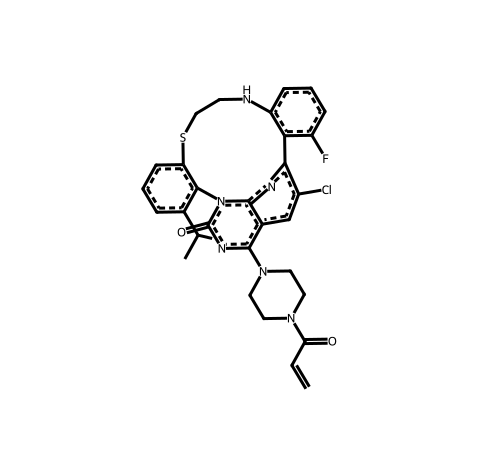 C=CC(=O)N1CCN(c2nc(=O)n3c4nc(c(Cl)cc24)-c2c(F)cccc2NCCSc2cccc(C(C)C)c2-3)CC1